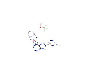 CN1CC(N2C3CCC2CN(c2ccnc4[nH]c(-c5cnn(C)c5)nc24)C3)C1.O=C(O)C(F)(F)F